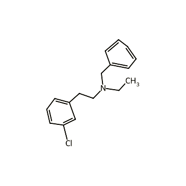 CCN(CCc1cccc(Cl)c1)Cc1ccccc1